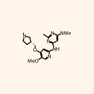 CNc1cc(Nc2cc(OC[C@@H]3CCN(C)C3)c(OC)cn2)nc(C)n1